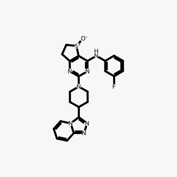 [O-][S+]1CCc2nc(N3CCC(c4nnc5ccccn45)CC3)nc(NC3=CC(F)=C=C=C3)c21